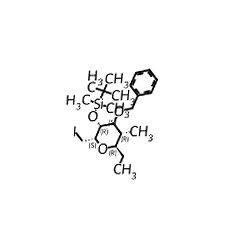 CC[C@H]1O[C@H](CI)[C@H](O[Si](C)(C)C(C)(C)C)[C@@H](OCc2ccccc2)[C@@H]1C